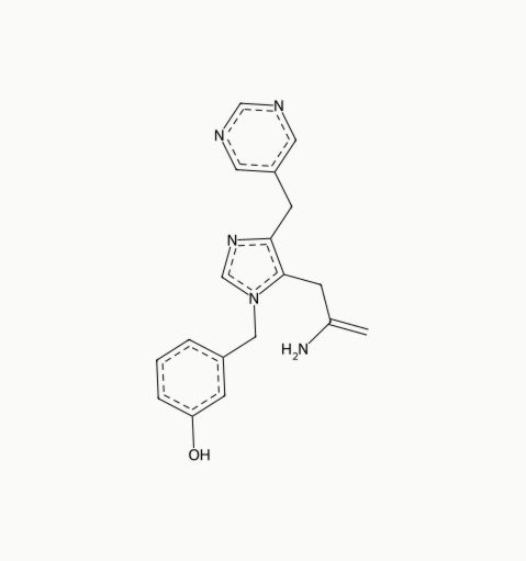 C=C(N)Cc1c(Cc2cncnc2)ncn1Cc1cccc(O)c1